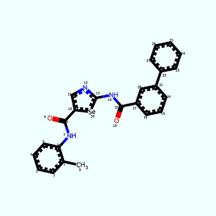 Cc1ccccc1NC(=O)c1cnc(NC(=O)c2cccc(-c3ccccc3)c2)[se]1